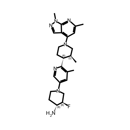 Cc1cc(N2CC[C@@H](c3ncc(N4CC[C@@H](N)[C@H](F)C4)cc3C)[C@H](C)C2)c2cnn(C)c2n1